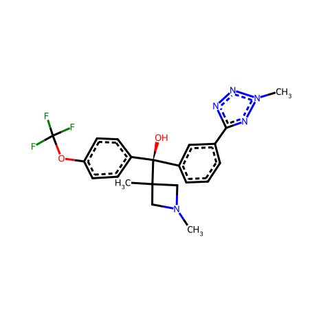 CN1CC(C)([C@](O)(c2ccc(OC(F)(F)F)cc2)c2cccc(-c3nnn(C)n3)c2)C1